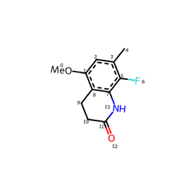 COc1cc(C)c(F)c2c1CCC(=O)N2